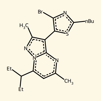 CCCCc1nc(Br)c(-c2c(C)nn3c(C(CC)CC)cc(C)nc23)s1